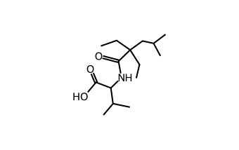 CCC(CC)(CC(C)C)C(=O)NC(C(=O)O)C(C)C